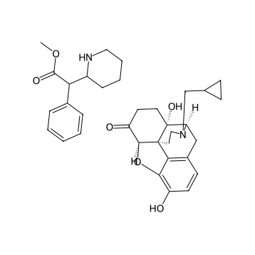 COC(=O)C(c1ccccc1)C1CCCCN1.O=C1CC[C@@]2(O)[C@H]3Cc4ccc(O)c5c4[C@@]2(CCN3CC2CC2)[C@H]1O5